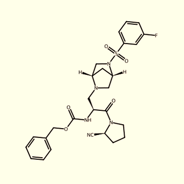 N#C[C@@H]1CCCN1C(=O)[C@H](CN1C[C@@H]2C[C@H]1CN2S(=O)(=O)c1cccc(F)c1)NC(=O)OCc1ccccc1